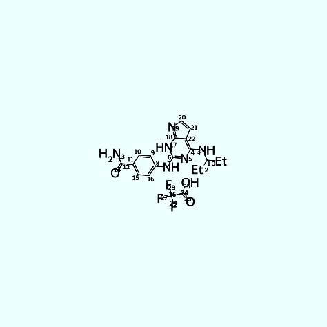 CCC(CC)Nc1nc(Nc2ccc(C(N)=O)cc2)[nH]c2nccc1-2.O=C(O)C(F)(F)F